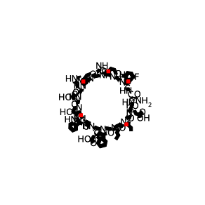 CCCC[C@H]1C(=O)N(C)[C@@H](CCCC)C(=O)N[C@@H](CCC(=O)O)C(=O)N[C@H](C(N)=O)CNCC(=O)N[C@@H](Cc2ccc(F)cc2)C(=O)N2CCCC[C@H]2C(=O)N[C@@H](CC(N)=O)C(=O)N2CCC[C@H]2C(=O)N[C@@H](Cc2c[nH]cn2)C(=O)N[C@@H](CC(=O)O)C(=O)N2C[C@H](O)C[C@H]2C(=O)N[C@@H](Cc2c[nH]c3ccccc23)C(=O)N[C@@H](C)C(=O)N[C@@H](Cc2cn(CC(=O)O)c3ccccc23)C(=O)N1C